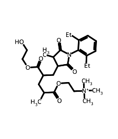 CCc1cccc(CC)c1N1C(=O)C(C)C(CC(CC(C)C(=O)OCC[N+](C)(C)C)C(=O)OCCO)C1=O